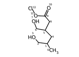 CC(CO)CC(CO)CC(=O)OCl